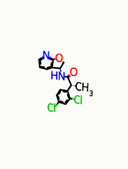 C[C@@H](C(=O)N[C@@H]1COc2ncccc21)c1ccc(Cl)cc1Cl